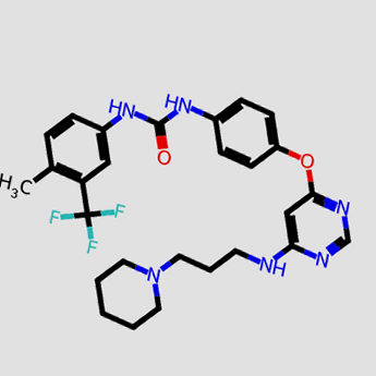 Cc1ccc(NC(=O)Nc2ccc(Oc3cc(NCCCN4CCCCC4)ncn3)cc2)cc1C(F)(F)F